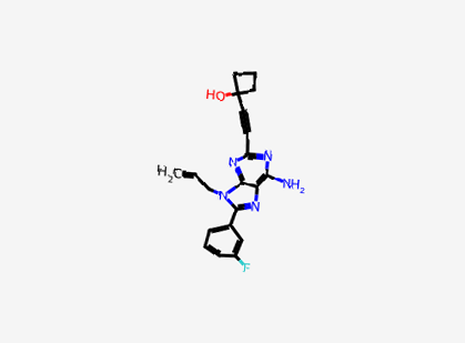 C=CCn1c(-c2cccc(F)c2)nc2c(N)nc(C#CC3(O)CCC3)nc21